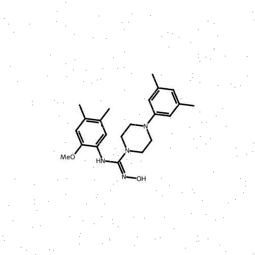 COc1cc(C)c(C)cc1NC(=NO)N1CCN(c2cc(C)cc(C)c2)CC1